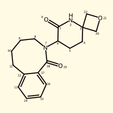 O=C1NC2(CCC1N1CCCCc3ccccc3C1=O)COC2